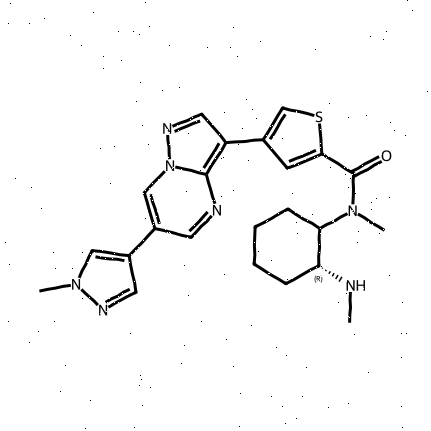 CN[C@@H]1CCCCC1N(C)C(=O)c1cc(-c2cnn3cc(-c4cnn(C)c4)cnc23)cs1